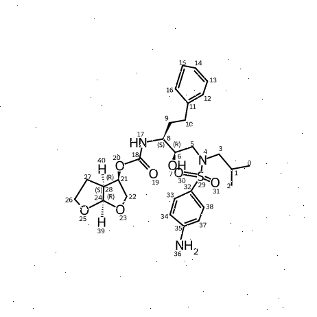 CC(C)CN(C[C@@H](O)[C@H](CCc1ccccc1)NC(=O)O[C@H]1CO[C@H]2OCC[C@H]21)S(=O)(=O)c1ccc(N)cc1